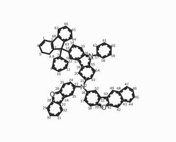 C1=CC2=C(CC1)C(c1ccccc1)(c1ccc3c(c1)c1cc(N(c4ccc5oc6ccccc6c5c4)c4ccc5oc6cc7ccccc7cc6c5c4)ccc1n3-c1ccccc1)c1ccccc12